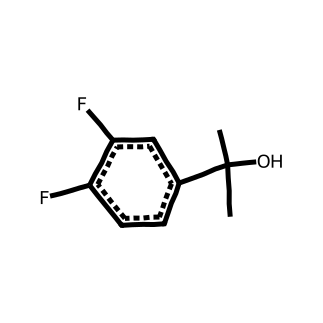 CC(C)(O)c1ccc(F)c(F)c1